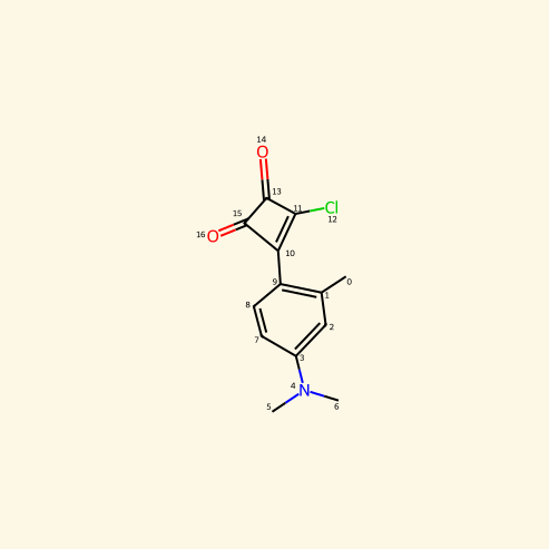 Cc1cc(N(C)C)ccc1-c1c(Cl)c(=O)c1=O